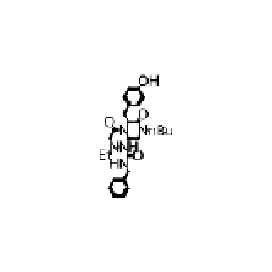 CCCCN1C[C@H]2N(C(=O)CN(CC)N2C(=O)NCc2ccccc2)[C@@H](Cc2ccc(O)cc2)C1=O